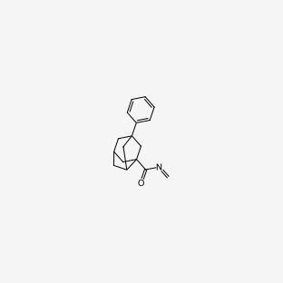 C=NC(=O)C12CC3CC1CC(c1ccccc1)(C3)C2